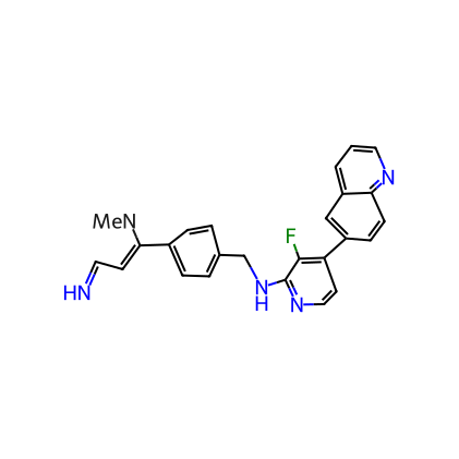 CN/C(=C\C=N)c1ccc(CNc2nccc(-c3ccc4ncccc4c3)c2F)cc1